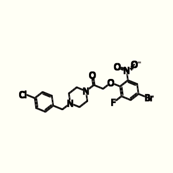 O=C(COc1c(F)cc(Br)cc1[N+](=O)[O-])N1CCN(Cc2ccc(Cl)cc2)CC1